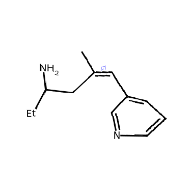 CCC(N)C/C(C)=C\c1cccnc1